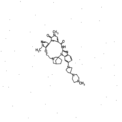 CN1CCN(C2CCN(c3ccc4nc5n(c4c3)C34CCC(CN(CCOc6c(cnn6C)-c6cc(cn(C)c6=O)C(=O)N5)C3)C4)C2)CC1